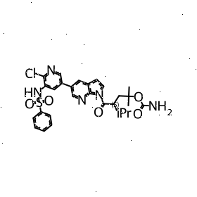 CC(C)[C@H](CC(C)(C)OC(N)=O)C(=O)n1ccc2cc(-c3cnc(Cl)c(NS(=O)(=O)c4ccccc4)c3)cnc21